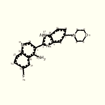 Nc1c(-c2nc3cc(N4CCOCC4)ccc3[nH]2)cnc2ccc(F)cc12